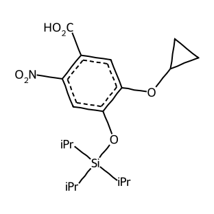 CC(C)[Si](Oc1cc([N+](=O)[O-])c(C(=O)O)cc1OC1CC1)(C(C)C)C(C)C